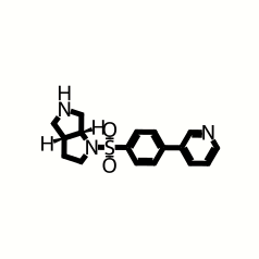 O=S(=O)(c1ccc(-c2cccnc2)cc1)N1CC[C@@H]2CNC[C@@H]21